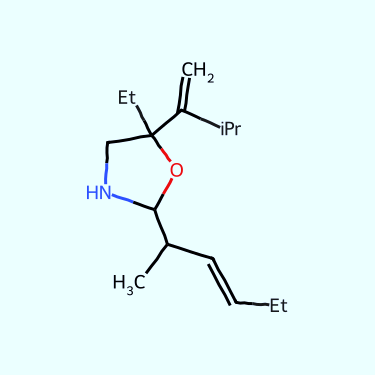 C=C(C(C)C)C1(CC)CNC(C(C)C=CCC)O1